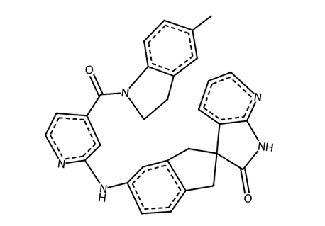 Cc1ccc2c(c1)CCN2C(=O)c1ccnc(Nc2ccc3c(c2)CC2(C3)C(=O)Nc3ncccc32)c1